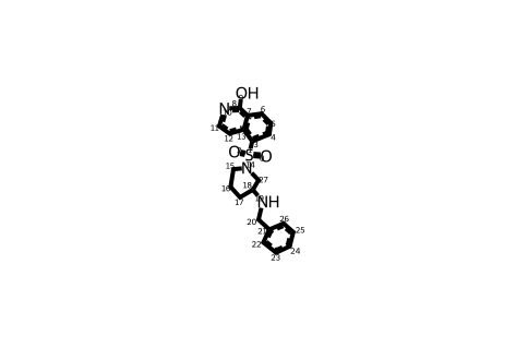 O=S(=O)(c1cccc2c(O)nccc12)N1CCCC(NCc2ccccc2)C1